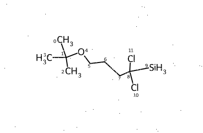 CC(C)(C)OCCCC([SiH3])(Cl)Cl